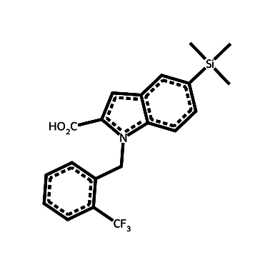 C[Si](C)(C)c1ccc2c(c1)cc(C(=O)O)n2Cc1ccccc1C(F)(F)F